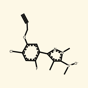 C#CCOc1cc(-c2nn(C)c([S+](C)[O-])c2C)c(F)cc1Cl